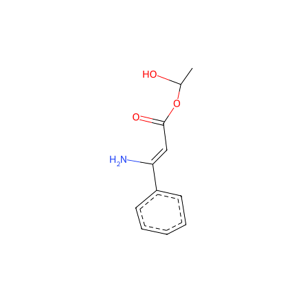 CC(O)OC(=O)C=C(N)c1ccccc1